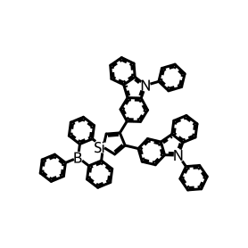 C1=C(c2ccc3c(c2)c2ccccc2n3-c2ccccc2)C(c2ccc3c(c2)c2ccccc2n3-c2ccccc2)=C[Si]12c1ccccc1B(c1ccccc1)c1ccccc12